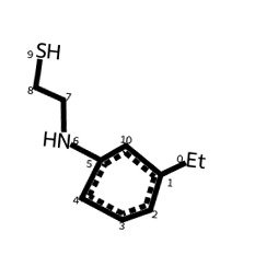 CCc1cccc(NCCS)c1